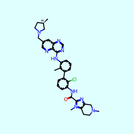 Cc1c(Nc2ncnc3cc(CN4CC[C@@H](C)C4)cnc23)cccc1-c1cccc(NC(=O)c2nc3c(n2C)CCN(C)C3)c1Cl